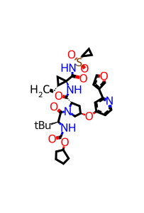 C=C[C@@H]1C[C@]1(NC(=O)[C@@H]1C[C@@H](Oc2ccnc(-c3ccoc3)c2)CN1C(=O)[C@@H](NC(=O)OC1CCCC1)C(C)(C)C)C(=O)NS(=O)(=O)C1CC1